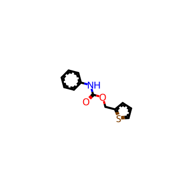 O=C(Nc1ccccc1)OCc1cccs1